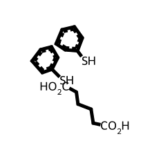 O=C(O)CCCCC(=O)O.Sc1ccccc1.Sc1ccccc1